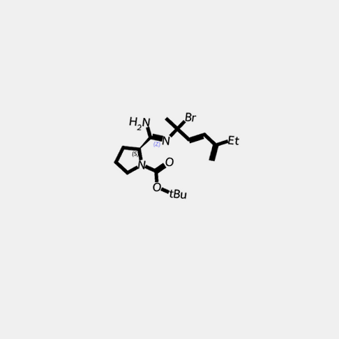 C=C(C=CC(C)(Br)/N=C(\N)[C@@H]1CCCN1C(=O)OC(C)(C)C)CC